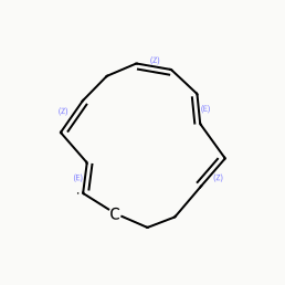 [C]1=C/C=C\C\C=C/C=C/C=C\CCC/1